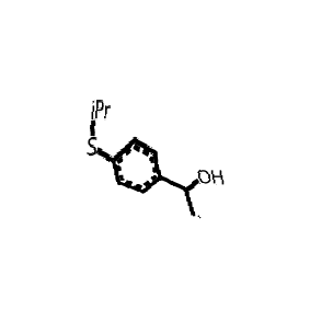 [CH2]C(O)c1ccc(SC(C)C)cc1